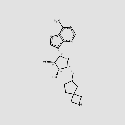 Nc1ncnc2c1ncn2[C@@H]1O[C@H](CN2CCC3(CNC3)C2)[C@@H](O)[C@H]1O